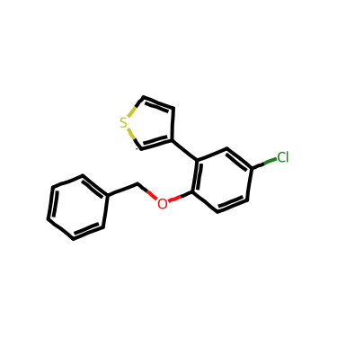 Clc1ccc(OCc2ccccc2)c(-c2[c]scc2)c1